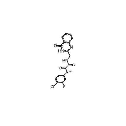 O=C(NCc1nc2ccccc2c(=O)[nH]1)C(=O)Nc1ccc(Cl)c(F)c1